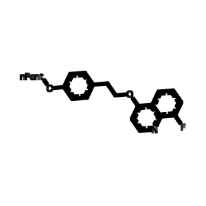 CCCCCOc1ccc(CCOc2ccnc3c(F)cccc23)cc1